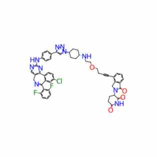 O=C1CCC(N2Cc3c(C#CCCOCCN[C@H]4CC[C@H](n5cc(-c6ccc(Nc7ncc8c(n7)-c7ccc(Cl)cc7C(c7c(F)cccc7F)=NC8)cc6)nn5)CC4)cccc3C2=O)C(=O)N1